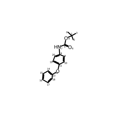 CC(C)(C)OC(=O)Nc1ccc(Oc2ccccc2)cc1